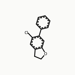 Clc1cc2c(cc1-c1ccccc1)OCC2